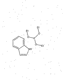 CCOP(OCC)OCC.c1ccc2[nH]ccc2c1